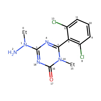 CCN(N)c1nc(-c2c(Cl)cccc2Cl)n(CC)c(=O)n1